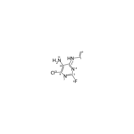 C=CNc1nc(F)nc(Cl)c1N